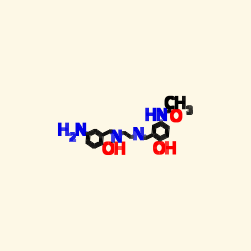 CC(=O)Nc1ccc(O)c(/C=N/CC/N=C/c2cc(N)ccc2O)c1